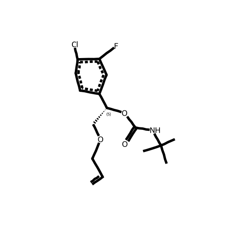 C=CCOC[C@@H](OC(=O)NC(C)(C)C)c1ccc(Cl)c(F)c1